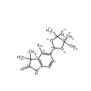 CC1(C)C(=O)Nc2ccc(B3OC(C)(C)C(C)(C)O3)c(F)c21